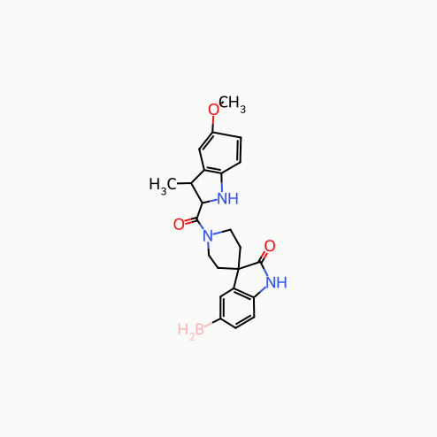 Bc1ccc2c(c1)C1(CCN(C(=O)C3Nc4ccc(OC)cc4C3C)CC1)C(=O)N2